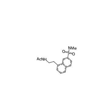 CNS(=O)(=O)c1ccc2cccc(CCNC(C)=O)c2c1